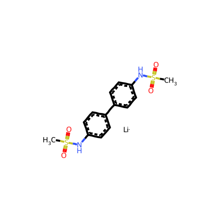 CS(=O)(=O)Nc1ccc(-c2ccc(NS(C)(=O)=O)cc2)cc1.[Li]